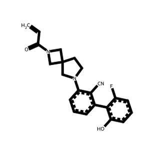 C=CC(=O)N1CC2(CCN(c3cccc(-c4c(O)cccc4F)c3C#N)C2)C1